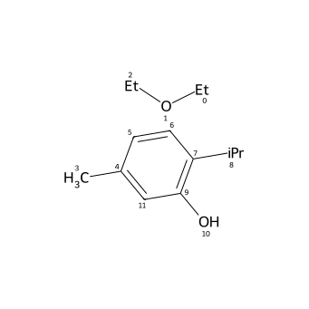 CCOCC.Cc1ccc(C(C)C)c(O)c1